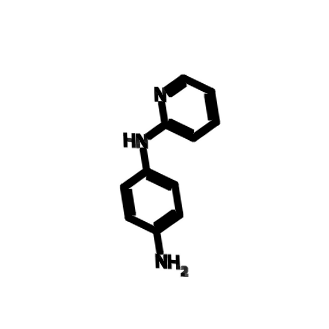 Nc1ccc(Nc2ccccn2)cc1